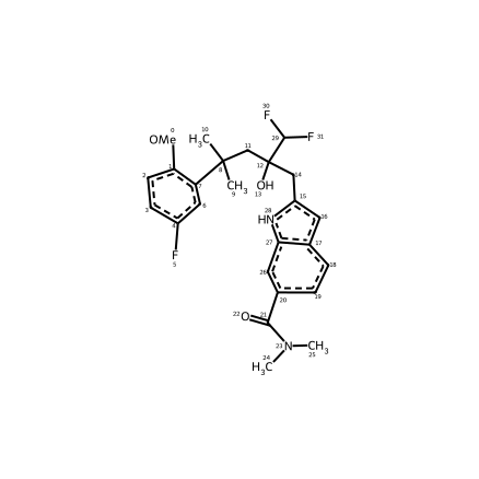 COc1ccc(F)cc1C(C)(C)CC(O)(Cc1cc2ccc(C(=O)N(C)C)cc2[nH]1)C(F)F